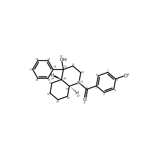 O=C(c1ccc(Cl)cc1)N1CCC(O)(c2ccccc2)[C@H]2CCCC[C@@H]21